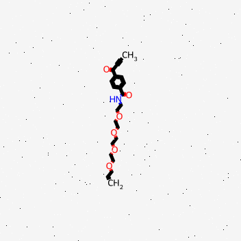 C=CCOCCOCCOCCOCCNC(=O)c1ccc(C(=O)C#CC)cc1